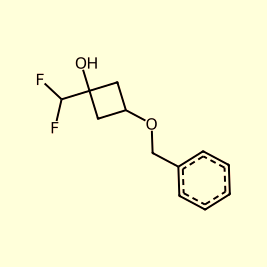 OC1(C(F)F)CC(OCc2ccccc2)C1